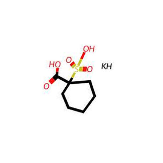 O=C(O)C1(S(=O)(=O)O)CCCCC1.[KH]